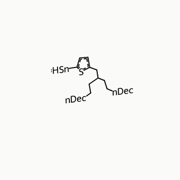 CCCCCCCCCCCCC(CCCCCCCCCCCC)Cc1cc[c]([SnH])s1